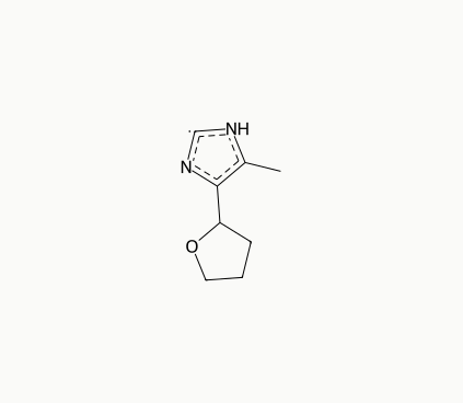 Cc1[nH][c]nc1C1CCCO1